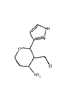 O=[N+]([O-])C1CCOC(c2cc[nH]n2)C1CCl